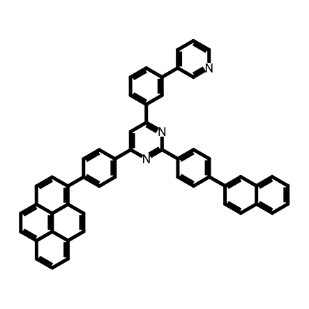 c1cncc(-c2cccc(-c3cc(-c4ccc(-c5ccc6ccc7cccc8ccc5c6c78)cc4)nc(-c4ccc(-c5ccc6ccccc6c5)cc4)n3)c2)c1